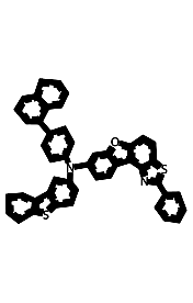 c1ccc(-c2nc3c(ccc4oc5cc(N(c6ccc(-c7cccc8ccccc78)cc6)c6ccc7sc8ccccc8c7c6)ccc5c43)s2)cc1